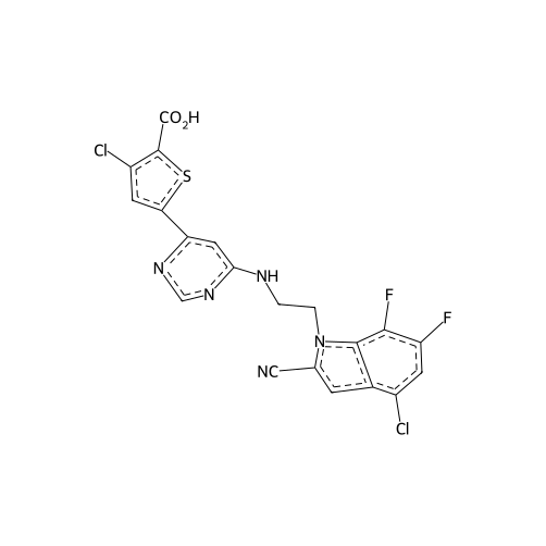 N#Cc1cc2c(Cl)cc(F)c(F)c2n1CCNc1cc(-c2cc(Cl)c(C(=O)O)s2)ncn1